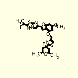 COc1cc(OCc2csc(C3(F)CC(C)OC(C)C3)n2)c2cc(-c3cn4nc(C(C)F)sc4n3)oc2c1